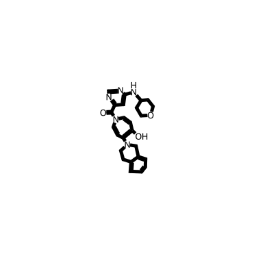 O=C(c1cc(NC2CCOCC2)ncn1)N1C=CC(O)=C(N2CCc3ccccc3C2)C=C1